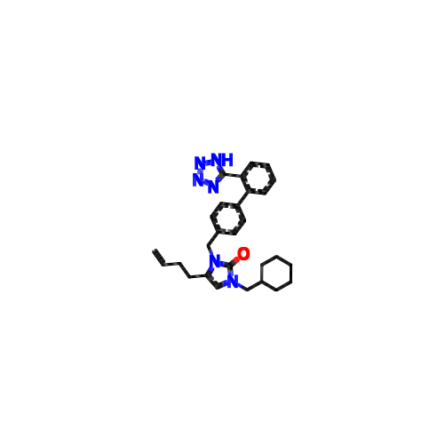 C=CCCc1cn(CC2CCCCC2)c(=O)n1Cc1ccc(-c2ccccc2-c2nnn[nH]2)cc1